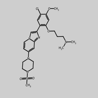 COc1cc(OCCCN(C)C)c(-c2cn3ccc(N4CCN(S(C)(=O)=O)CC4)cc3n2)cc1Cl